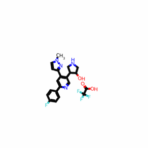 Cn1ccc(-c2cc(-c3ccc(F)cc3)ncc2C2CNCC2O)n1.O=C(O)C(F)(F)F